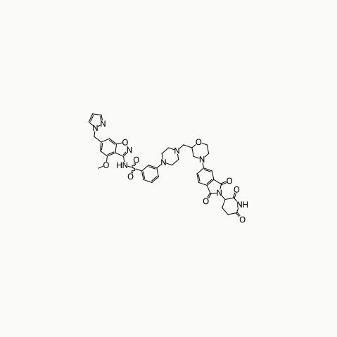 COc1cc(Cn2cccn2)cc2onc(NS(=O)(=O)c3cccc(N4CCN(CC5CN(c6ccc7c(c6)C(=O)N(C6CCC(=O)NC6=O)C7=O)CCO5)CC4)c3)c12